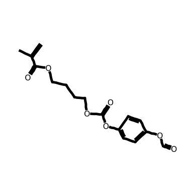 C=C(C)C(=O)OCCCCOC(=O)Oc1ccc(OC=O)cc1